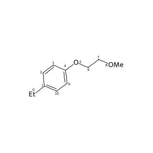 CCc1c[c]c(OCCOC)cc1